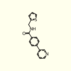 O=C(NCc1cccs1)c1ccc(-c2cccnc2)cc1